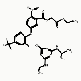 CCNc1nc(Cl)nc(NC(C)C)n1.CCOC(=O)COC(=O)c1cc(Oc2ccc(C(F)(F)F)cc2Cl)ccc1[N+](=O)[O-]